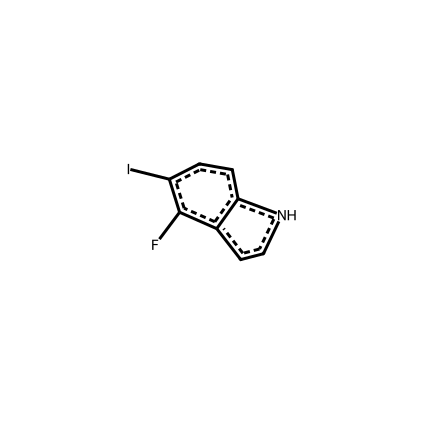 Fc1c(I)ccc2[nH]ccc12